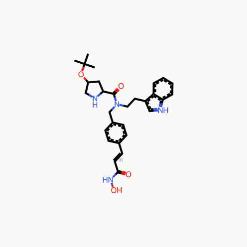 CC(C)(C)OC1CNC(C(=O)N(CCc2c[nH]c3ccccc23)Cc2ccc(/C=C/C(=O)NO)cc2)C1